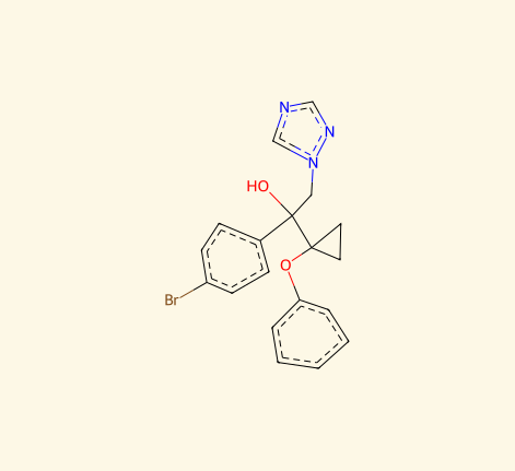 OC(Cn1cncn1)(c1ccc(Br)cc1)C1(Oc2ccccc2)CC1